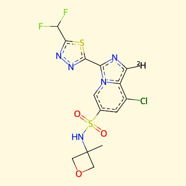 [2H]c1nc(-c2nnc(C(F)F)s2)n2cc(S(=O)(=O)NC3(C)COC3)cc(Cl)c12